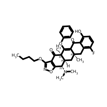 CCCCOc1noc2c1C(=O)[C@@]1(C)C(Oc3ccccc3)=C3C(=O)c4c(O)ccc(F)c4C[C@@]3(C)C[C@H]1[C@@H]2N(C)C